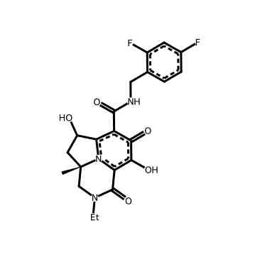 CCN1C[C@]2(C)CC(O)c3c(C(=O)NCc4ccc(F)cc4F)c(=O)c(O)c(n32)C1=O